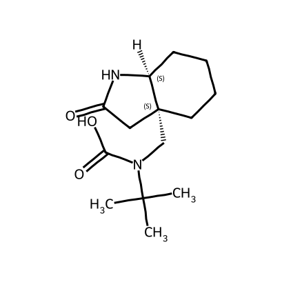 CC(C)(C)N(C[C@@]12CCCC[C@@H]1NC(=O)C2)C(=O)O